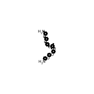 Cc1cc(Oc2ccc(Oc3cccc(Oc4cccc(N)c4)c3)cc2)c(C)c(Oc2ccc(Oc3cccc(Oc4cccc(N)c4)c3)cc2)c1